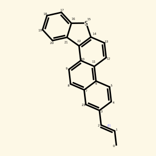 C/C=C/c1ccc2c(ccc3c2ccc2sc4ccccc4c23)c1